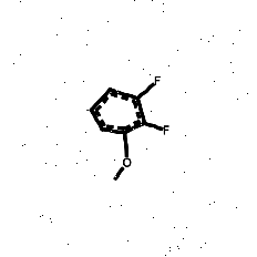 COc1c[c]cc(F)c1F